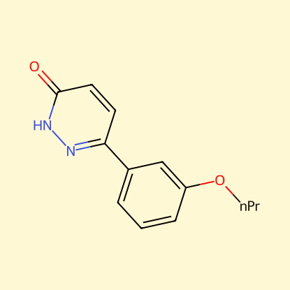 CCCOc1cccc(-c2ccc(=O)[nH]n2)c1